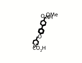 CONC(=O)C1CC=C(c2ccc(OCC3CCN(C(=O)O)CC3)cc2)CC1